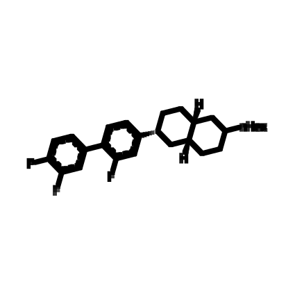 CCCCCCC1CC[C@@H]2C[C@H](c3ccc(-c4ccc(F)c(F)c4)c(F)c3)CC[C@@H]2C1